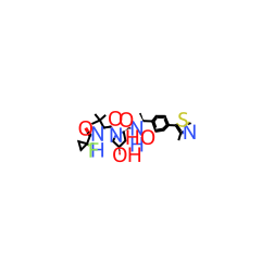 Cc1ncsc1-c1ccc([C@H](C)NC(=O)[C@@H]2C[C@@H](O)CN2C(=O)[C@@H](NC(=O)C2(F)CC2)C(C)(C)C)c(O)c1